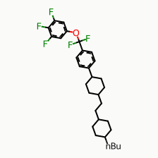 CCCCC1CCC(CCC2CCC(c3ccc(C(F)(F)Oc4cc(F)c(F)c(F)c4)cc3)CC2)CC1